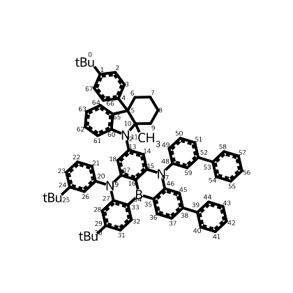 CC(C)(C)c1ccc(C23CCCCC2(C)N(c2cc4c5c(c2)N(c2cccc(C(C)(C)C)c2)c2cc(C(C)(C)C)ccc2B5c2ccc(-c5ccccc5)cc2N4c2cccc(-c4ccccc4)c2)c2ccccc23)cc1